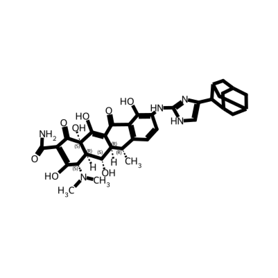 C[C@H]1c2ccc(Nc3nc(C4C5CC6CC(C5)CC4C6)c[nH]3)c(O)c2C(=O)C2=C(O)[C@]3(O)C(=O)C(C(N)=O)=C(O)[C@@H](N(C)C)[C@@H]3[C@@H](O)[C@@H]21